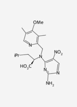 COc1c(C)cnc(CN(c2nc(N)ncc2[N+](=O)[O-])[C@H](CC(C)C)C(=O)O)c1C